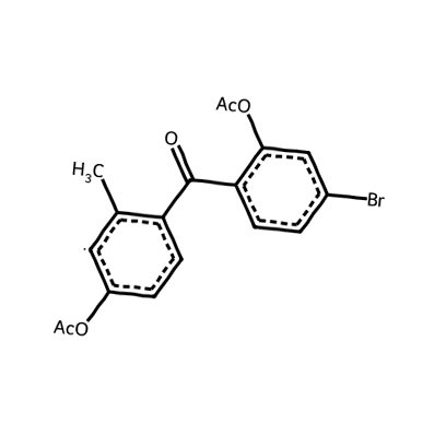 CC(=O)Oc1[c]c(C)c(C(=O)c2ccc(Br)cc2OC(C)=O)cc1